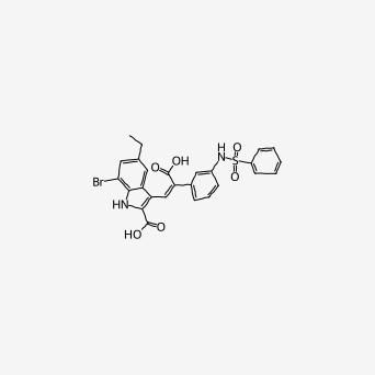 CCc1cc(Br)c2[nH]c(C(=O)O)c(C=C(C(=O)O)c3cccc(NS(=O)(=O)c4ccccc4)c3)c2c1